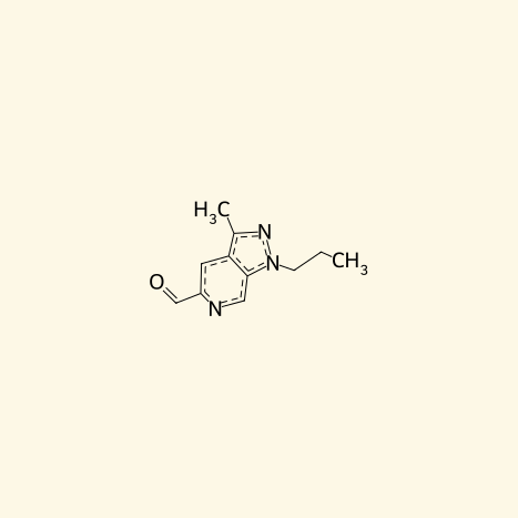 CCCn1nc(C)c2cc(C=O)ncc21